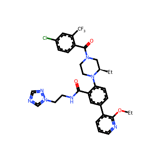 CCOc1ncccc1-c1ccc(N2CCN(C(=O)c3ccc(Cl)cc3C(F)(F)F)C[C@H]2CC)c(C(=O)NCCn2cncn2)c1